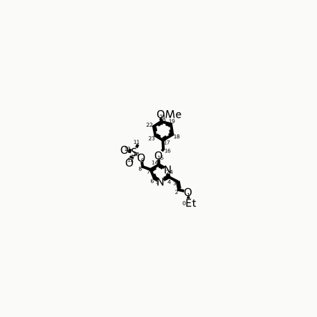 CCOC=Cc1ncc(COS(C)(=O)=O)c(OCc2ccc(OC)cc2)n1